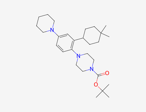 CC1(C)CCC(c2cc(N3CCCCC3)ccc2N2CCN(C(=O)OC(C)(C)C)CC2)CC1